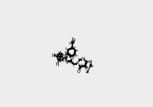 Cn1cnc2ncn(Cc3nc([C@@]45C6[C@H]4[C@H]5CN6c4cccc(C#N)c4)no3)c(=O)c21